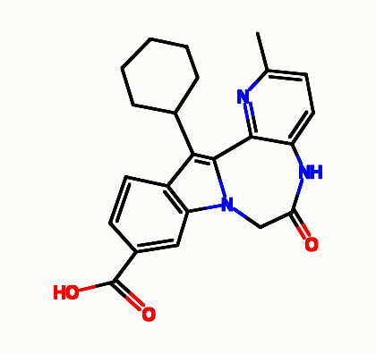 Cc1ccc2c(n1)-c1c(C3CCCCC3)c3ccc(C(=O)O)cc3n1CC(=O)N2